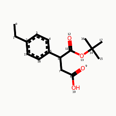 CCc1ccc(C(CC(=O)O)C(=O)OC(C)(C)C)cc1